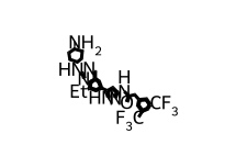 CCc1cc(-c2cc(NC(=O)Cc3cc(C(F)(F)F)cc(C(F)(F)F)c3)n[nH]2)cc2cnc(N[C@H]3CC[C@H](N)CC3)nc12